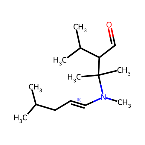 CC(C)C/C=C/N(C)C(C)(C)C(C=O)C(C)C